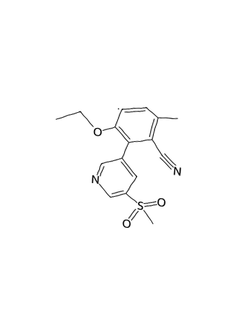 CCOc1[c]cc(C)c(C#N)c1-c1cncc(S(C)(=O)=O)c1